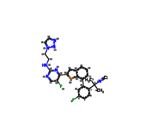 [C-]#[N+]C(C)(C)c1ccc(F)cc1-c1cccc2cc(-c3nc(NCCn4ccnn4)ncc3F)sc12